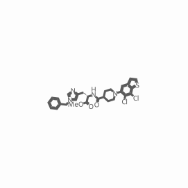 COC(=O)[C@H](Cc1cn(Cc2ccccc2)cn1)NC(=O)C1CCN(c2cc3ccsc3c(Cl)c2Cl)CC1